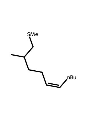 CCCC/C=C\CCC(C)CSC